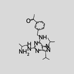 CC(=O)c1cccc(CNc2nc(NCC(C)N)nc3c(C(C)C)nn(C(C)C)c23)c1